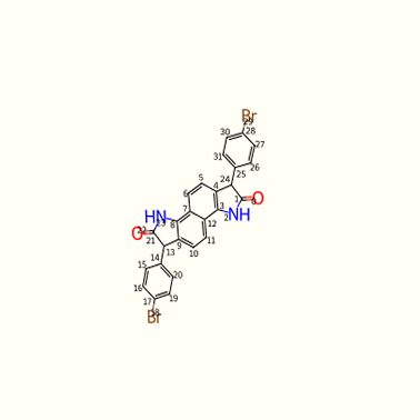 O=C1Nc2c(ccc3c4c(ccc23)C(c2ccc(Br)cc2)C(=O)N4)C1c1ccc(Br)cc1